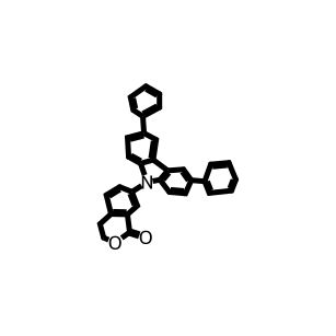 O=C1OCCc2ccc(-n3c4ccc(-c5ccccc5)cc4c4cc(-c5ccccc5)ccc43)cc21